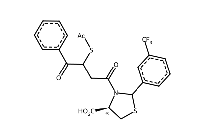 CC(=O)SC(CC(=O)N1C(c2cccc(C(F)(F)F)c2)SC[C@H]1C(=O)O)C(=O)c1ccccc1